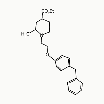 CCOC(=O)C1CCN(CCOc2ccc(Cc3ccccc3)cc2)C(C)C1